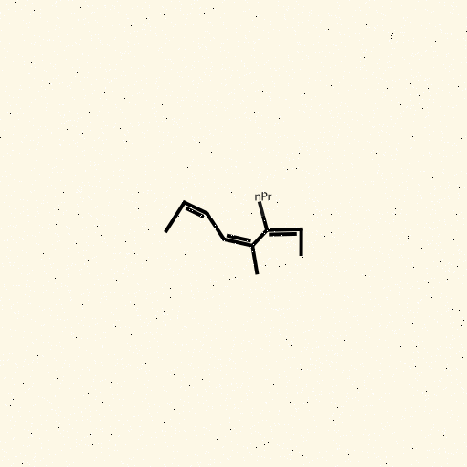 C\C=C/C=C(C)\C(=C/C)CCC